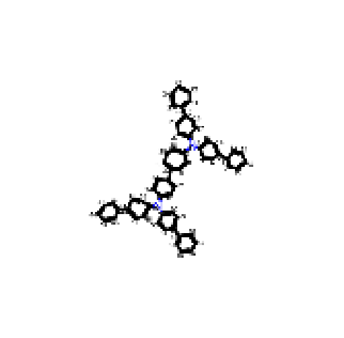 C1=CC(N(c2ccc(-c3ccccc3)cc2)c2ccc(-c3ccccc3)cc2)=CCC=C1c1ccc(N(c2ccc(-c3ccccc3)cc2)c2ccc(-c3ccccc3)cc2)cc1